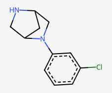 Clc1cccc(N2CC3CC2CN3)c1